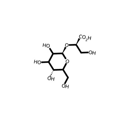 O=C(O)[C@@H](CO)O[C@H]1OC(CO)[C@H](O)C(O)C1O